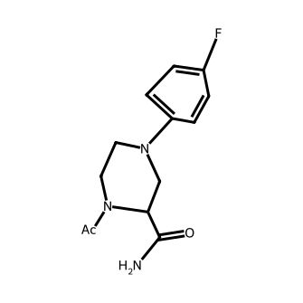 CC(=O)N1CCN(c2ccc(F)cc2)CC1C(N)=O